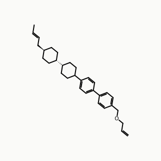 C=CCOCc1ccc(-c2ccc(C3CCC([C@H]4CC[C@H](C/C=C/C)CC4)CC3)cc2)cc1